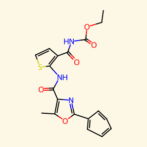 CCOC(=O)NC(=O)c1ccsc1NC(=O)c1nc(-c2ccccc2)oc1C